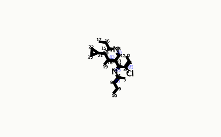 C\C=C(Cl)/C(=N\C(C)=C\CC)C(/C=N\[C@H](C)CC)=C(\C)CC1CC1